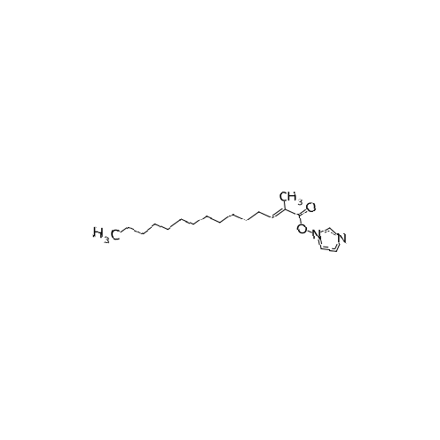 CCCCCCCCCCCCC=C(C)C(=O)On1ccnc1